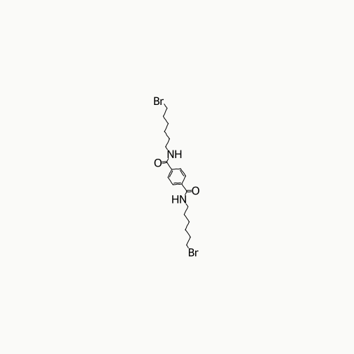 O=C(NCCCCCCBr)c1ccc(C(=O)NCCCCCCBr)cc1